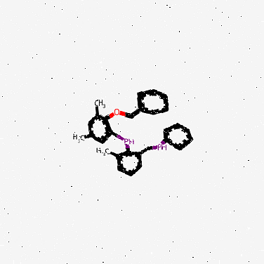 Cc1cc(C)c(OCc2ccccc2)c(Pc2c(C)cccc2CPc2ccccc2)c1